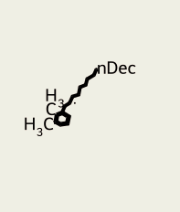 CCCCCCCCCCCCCCCCC[CH]Cc1cccc(C)c1C